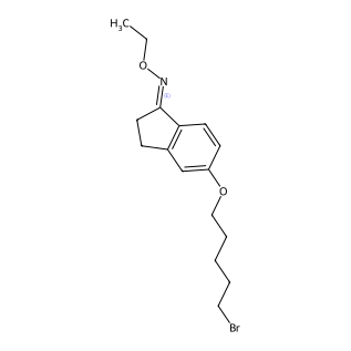 CCO/N=C1\CCc2cc(OCCCCCBr)ccc21